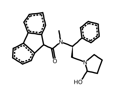 CN(C(=O)C1c2ccccc2-c2ccccc21)[C@H](CN1CCCC1O)c1ccccc1